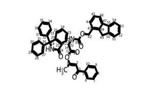 CC(=CC(=O)c1ccccc1)OC(=O)[C@H](CC(=O)NC(c1ccccc1)(c1ccccc1)c1ccccc1)NC(=O)OCc1cccc2c1Cc1ccccc1-2